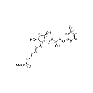 COC(=O)CCC/C=C/C[C@@H]1[C@@H](/C=C/[C@@H](O)COc2cccc(C(F)(F)F)c2)[C@H](O)C[C@@H]1O